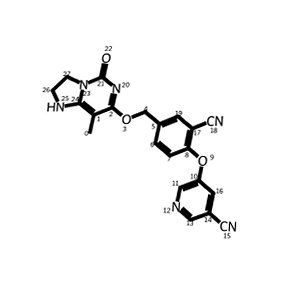 Cc1c(OCc2ccc(Oc3cncc(C#N)c3)c(C#N)c2)nc(=O)n2c1NCC2